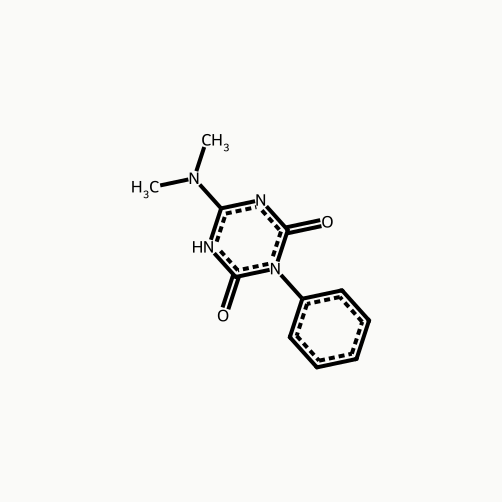 CN(C)c1nc(=O)n(-c2ccccc2)c(=O)[nH]1